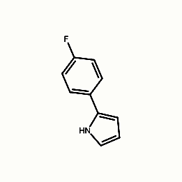 Fc1ccc(-c2ccc[nH]2)cc1